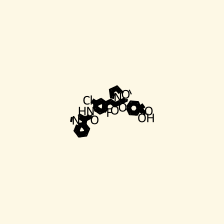 COCC(OC1CCC(C)(C(=O)O)CC1)(C(=O)Cc1cc(Cl)c(NC(=O)c2cn(C)c3ccccc23)cc1F)N1CCCC1